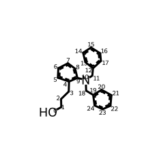 OCCCc1ccccc1N(Cc1ccccc1)Cc1ccccc1